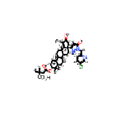 CC(C)C1=C2[C@H]3CC[C@@H]4[C@@]5(C)CC[C@H](OC(=O)CC(C)(C)C(=O)O)C(C)(C)[C@@H]5CC[C@@]4(C)[C@]3(C)CC[C@@]2(c2cc(=O)n(Cc3ccc(Cl)cn3)n2C)CC1=O